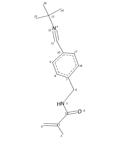 C=C(C)C(=O)NCc1ccc(C#[N+]C(C)(C)C)cc1